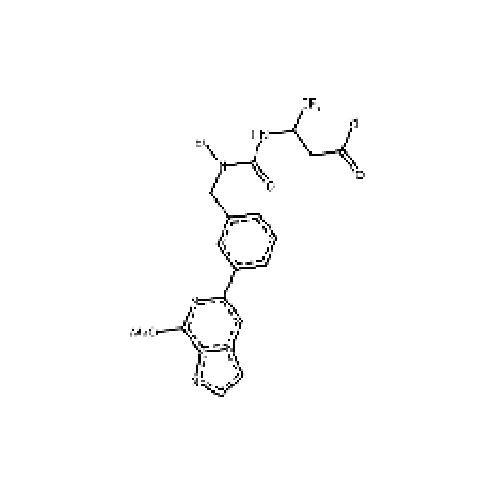 CCN(Cc1cccc(-c2cn3ccnc3c(OC)n2)c1)C(=O)NC(CC(=O)Cl)C(F)(F)F